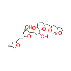 C=C1COC(CCC2C[C@@H](O)C(C3CC(O)C4OC(CC(=O)CC5CCO[C@H]5C)CCC4O3)O2)C1